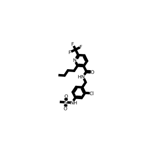 CCCCc1nc(C(F)(F)F)ccc1C(=O)NCc1ccc(NS(C)(=O)=O)cc1Cl